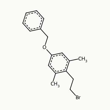 Cc1cc(OCc2ccccc2)cc(C)c1CCBr